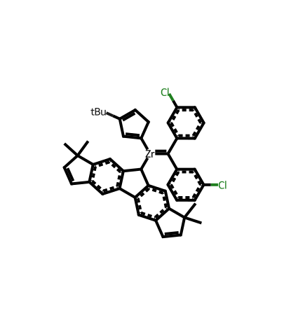 CC(C)(C)C1=CC[C]([Zr](=[C](c2cccc(Cl)c2)c2cccc(Cl)c2)[CH]2c3cc4c(cc3-c3cc5c(cc32)C(C)(C)C=C5)C=CC4(C)C)=C1